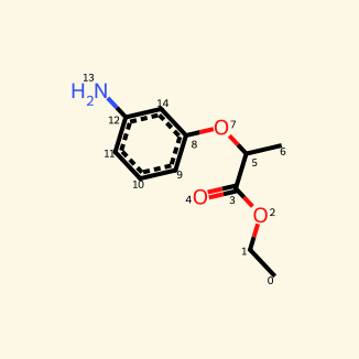 CCOC(=O)C(C)Oc1cccc(N)c1